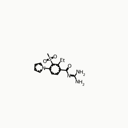 CCc1c(C(=O)N=C(N)N)ccc(-n2cccc2)c1S(C)(=O)=O